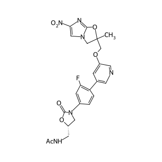 CC(=O)NC[C@H]1CN(c2ccc(-c3cncc(OCC4(C)Cn5cc([N+](=O)[O-])nc5O4)c3)c(F)c2)C(=O)O1